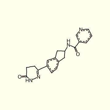 O=C1CCC(c2ccc3c(c2)CC(NC(=O)c2cccnc2)C3)=NN1